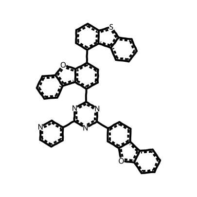 c1cncc(-c2nc(-c3ccc4c(c3)oc3ccccc34)nc(-c3ccc(-c4cccc5sc6ccccc6c45)c4oc5ccccc5c34)n2)c1